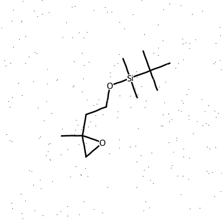 CC1(CCO[Si](C)(C)C(C)(C)C)CO1